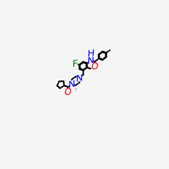 Cc1ccc(C(=O)Nc2cc(F)cc(CN3CCN(C(=O)C4CCCC4)[C@@H](C)C3)c2C)cc1